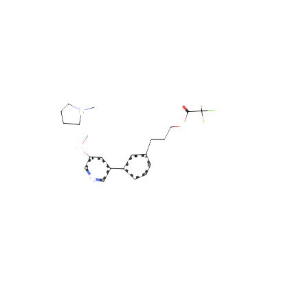 CN1CCC[C@H]1COc1cncc(-c2cccc(CCCOC(=O)C(F)(F)F)c2)c1